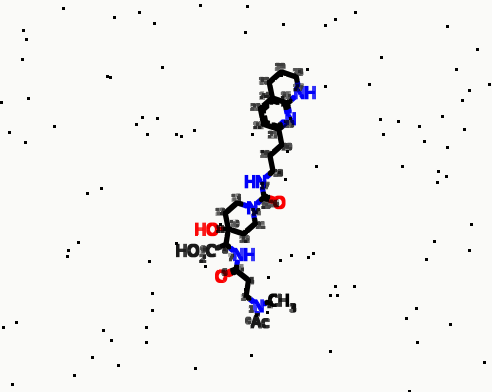 CC(=O)N(C)CCC(=O)NC(C(=O)O)C1(O)CCN(C(=O)NCCCc2ccc3c(n2)NCCC3)CC1